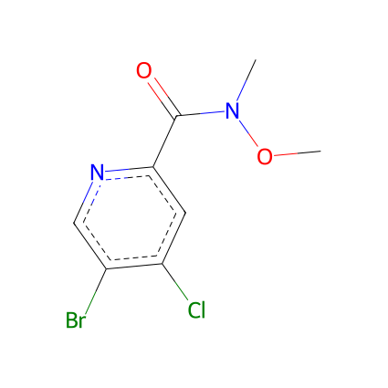 CON(C)C(=O)c1cc(Cl)c(Br)cn1